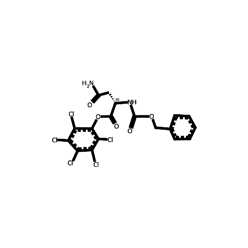 NC(=O)C[C@H](NC(=O)OCc1ccccc1)C(=O)Oc1c(Cl)c(Cl)c(Cl)c(Cl)c1Cl